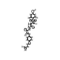 COc1cc(C)c(S(=O)(=O)N(C)CC(=O)NCC(=O)N(C)Cc2ccc(OCCN(C)C)cc2)c(C)c1